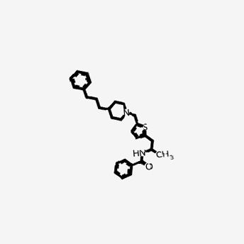 CC(Cc1ccc(CN2CCC(CCCc3ccccc3)CC2)s1)NC(=O)c1ccccc1